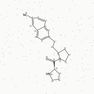 N#Cc1ccc2cc(CCC3CCCN3C(=O)[C@H]3CCCN3)ccc2c1